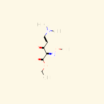 CCOC(=O)C(=NOC)C(=O)C=CN(C)C